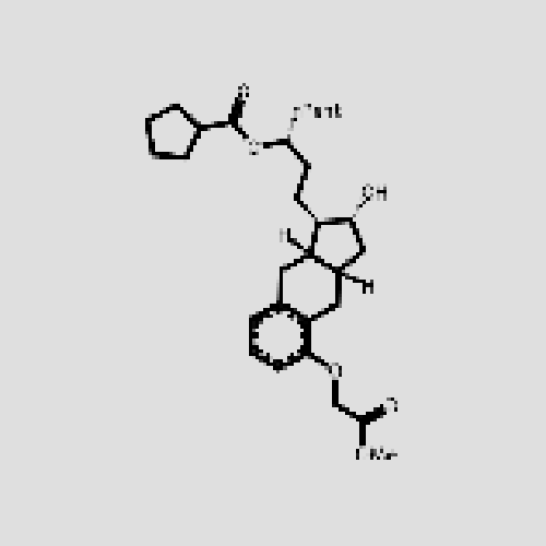 CCCCC[C@H](CC[C@@H]1[C@H]2Cc3cccc(OCC(=O)OC)c3C[C@H]2C[C@H]1O)OC(=O)C1CCCC1